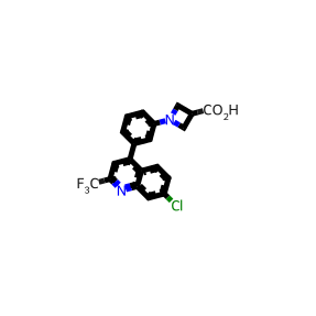 O=C(O)C1CN(c2cccc(-c3cc(C(F)(F)F)nc4cc(Cl)ccc34)c2)C1